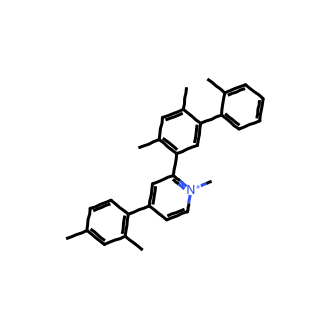 Cc1ccc(-c2cc[n+](C)c(-c3cc(-c4ccccc4C)c(C)cc3C)c2)c(C)c1